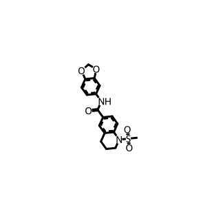 CS(=O)(=O)N1CCCc2cc(C(=O)Nc3ccc4c(c3)OCO4)ccc21